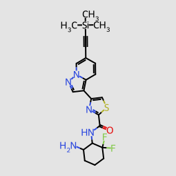 C[Si](C)(C)C#Cc1ccc2c(-c3csc(C(=O)NC4C(N)CCCC4(F)F)n3)cnn2c1